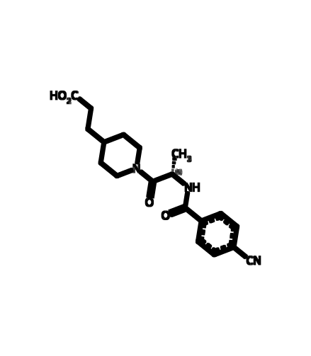 C[C@H](NC(=O)c1ccc(C#N)cc1)C(=O)N1CCC(CCC(=O)O)CC1